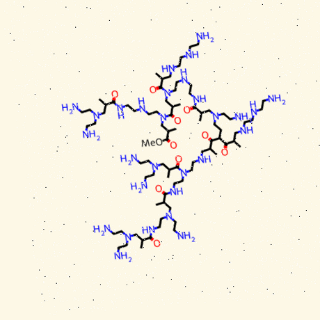 COC(=O)C(C)CN(CCNCCNC(=O)C(C)CN(CCN)CCN)C(=O)C(C)CN(CCNCCNC(=O)C(C)CN(CCN)CCC(C(=O)C(C)CNCCNCCN)C(=O)C(C)CNCCN(CCNC(=O)C(C)CN(CCN)CCNC(=O)C(C)CN(CCN)CCN)C(=O)C(C)CN(CCN)CCN)C(=O)C(C)CNCCNCCN